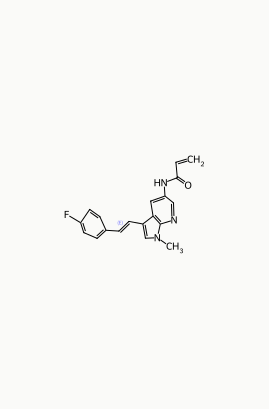 C=CC(=O)Nc1cnc2c(c1)c(/C=C/c1ccc(F)cc1)cn2C